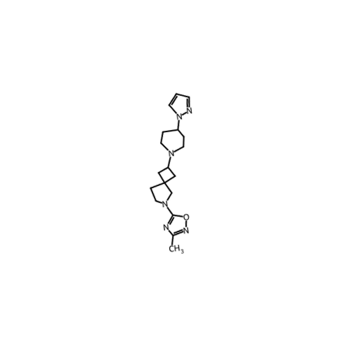 Cc1noc(N2CCC3(CC(N4CCC(n5cccn5)CC4)C3)C2)n1